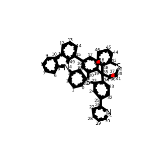 c1ccc(-n2c3ccccc3c3cccc(-c4ccc5c(c4)Sc4cc(-c6ccccn6)ccc4C54c5ccccc5Sc5ccccc54)c32)cc1